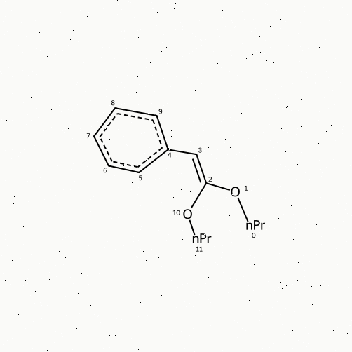 CCCOC(=Cc1ccccc1)OCCC